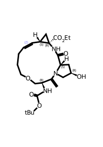 C=C1[C@@H](NC(=O)OC(C)(C)C)COCCC/C=C\[C@@H]2C[C@@]2(C(=O)OCC)NC(=O)[C@@H]2C[C@@H](O)CN12